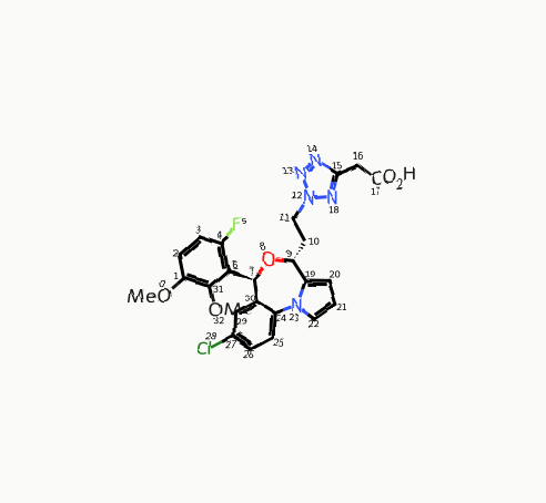 COc1ccc(F)c([C@H]2O[C@H](CCn3nnc(CC(=O)O)n3)c3cccn3-c3ccc(Cl)cc32)c1OC